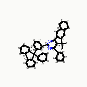 CC1(C)c2cc3ccccc3cc2-c2nc(-c3cccc(C4(c5ccccc5)c5ccccc5-c5ccccc54)c3)nc(-c3ccccc3)c21